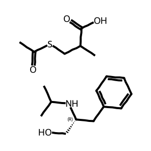 CC(=O)SCC(C)C(=O)O.CC(C)N[C@@H](CO)Cc1ccccc1